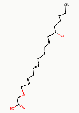 CCCCC[C@H](O)C=CC=CCC=CCC=CCOCC(=O)O